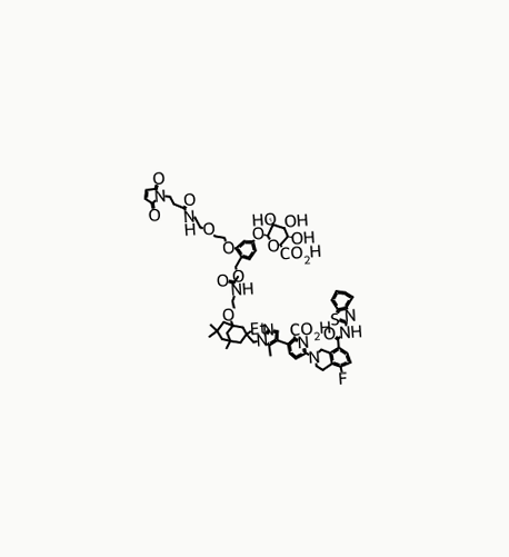 CCC1(Cn2ncc(-c3ccc(N4CCc5c(F)ccc(C(=O)Nc6nc7ccccc7s6)c5C4)nc3C(=O)O)c2C)CC2(C)CC(C)(C)CC(OCCNC(=O)OCc3ccc(O[C@@H]4O[C@H](C(=O)O)[C@@H](O)[C@H](O)[C@H]4O)cc3OCCOCCNC(=O)CCN3C(=O)C=CC3=O)(C2)C1